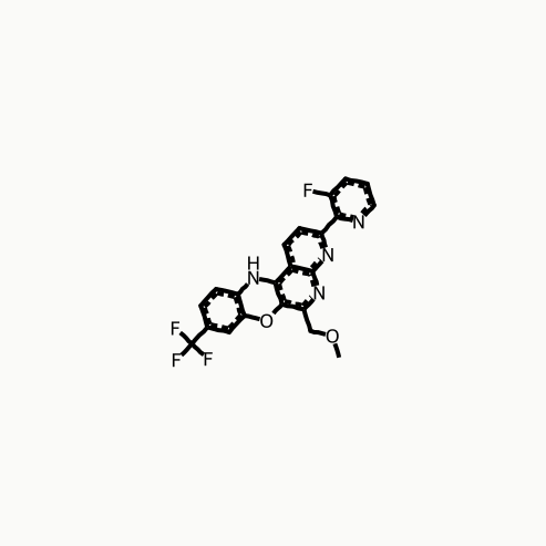 COCc1nc2nc(-c3ncccc3F)ccc2c2c1Oc1cc(C(F)(F)F)ccc1N2